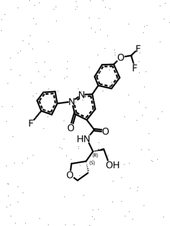 O=C(N[C@@H](CO)[C@@H]1CCOC1)c1cc(-c2ccc(OC(F)F)cc2)nn(-c2cccc(F)c2)c1=O